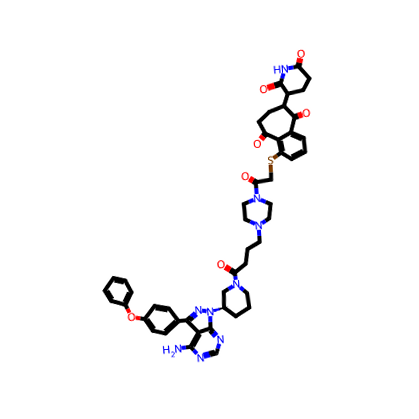 Nc1ncnc2c1c(-c1ccc(Oc3ccccc3)cc1)nn2[C@@H]1CCCN(C(=O)CCCN2CCN(C(=O)CSc3cccc4c3C(=O)CCC(C3CCC(=O)NC3=O)C4=O)CC2)C1